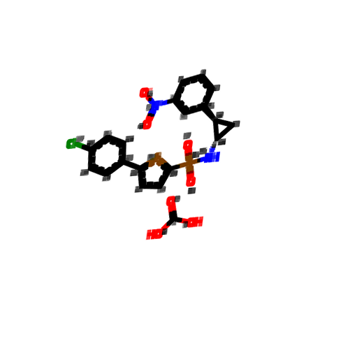 O=C(O)O.O=[N+]([O-])c1cccc([C@H]2C[C@@H]2NS(=O)(=O)c2ccc(-c3ccc(Cl)cc3)s2)c1